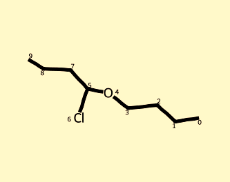 CCCCOC(Cl)CCC